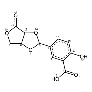 O=C(O)c1cc(C2OC3COC(=O)C3O2)ccc1O